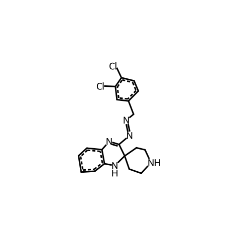 Clc1ccc(CN=NC2=Nc3ccccc3NC23CCNCC3)cc1Cl